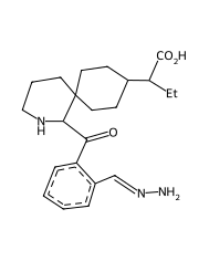 CCC(C(=O)O)C1CCC2(CCCNC2C(=O)c2ccccc2C=NN)CC1